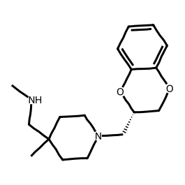 CNCC1(C)CCN(C[C@H]2COc3ccccc3O2)CC1